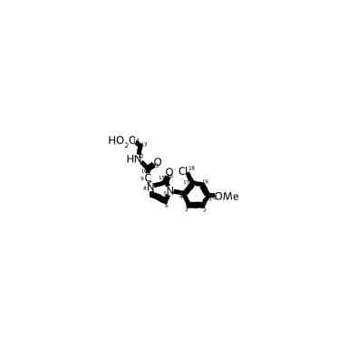 COc1ccc(-n2ccn(CC(=O)NCC(=O)O)c2=O)c(Cl)c1